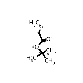 CSCC(=O)OC(C)(C)C